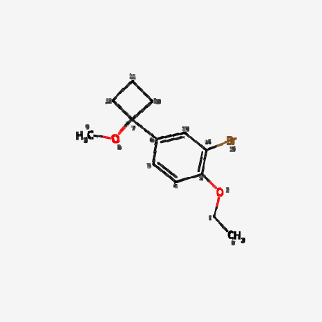 CCOc1ccc(C2(OC)CCC2)cc1Br